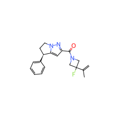 C=C(C)C1(F)CN(C(=O)c2cc3n(n2)CC[C@@H]3c2ccccc2)C1